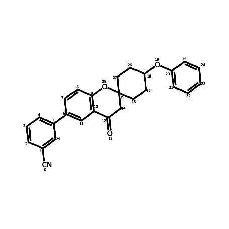 N#Cc1cccc(-c2ccc3c(c2)C(=O)CC2(CCC(Oc4ccccc4)CC2)O3)c1